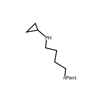 CCCCCCCCCPC1CC1